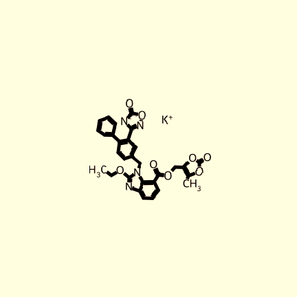 CCOc1nc2cccc(C(=O)OCc3oc(=O)oc3C)c2n1Cc1ccc(-c2ccccc2)c(-c2noc(=O)[n-]2)c1.[K+]